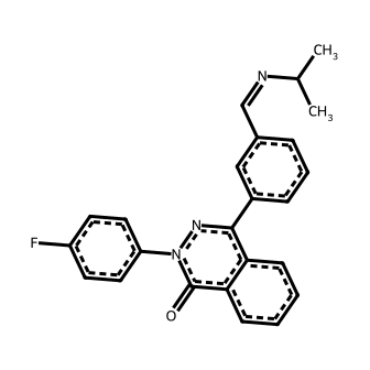 CC(C)/N=C\c1cccc(-c2nn(-c3ccc(F)cc3)c(=O)c3ccccc23)c1